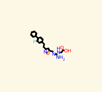 NC(=NCc1cc(CCc2ccc(-c3ccccc3)c(F)c2)no1)NCC(=O)O